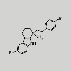 NC1(CCc2ccc(Br)cc2)CCCc2c1[nH]c1ccc(Br)cc21